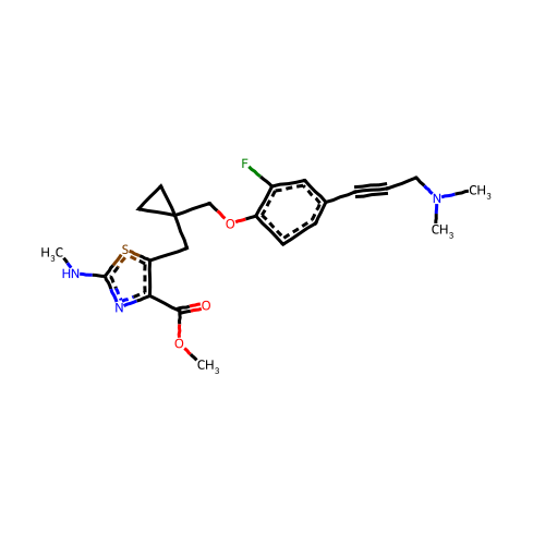 CNc1nc(C(=O)OC)c(CC2(COc3ccc(C#CCN(C)C)cc3F)CC2)s1